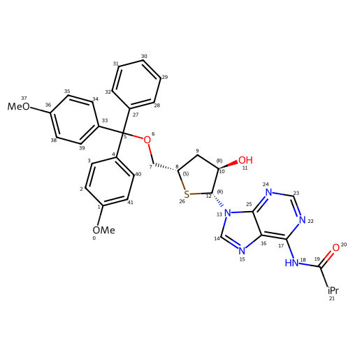 COc1ccc(C(OC[C@@H]2C[C@@H](O)[C@H](n3cnc4c(NC(=O)C(C)C)ncnc43)S2)(c2ccccc2)c2ccc(OC)cc2)cc1